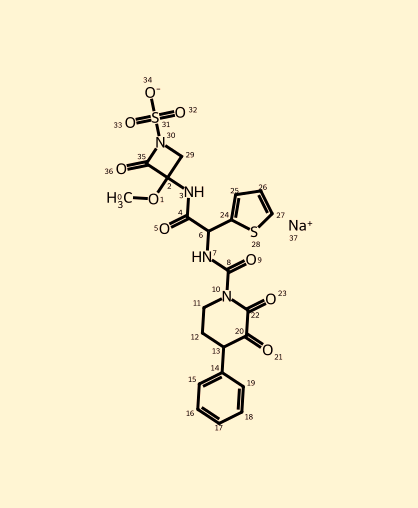 COC1(NC(=O)C(NC(=O)N2CCC(c3ccccc3)C(=O)C2=O)c2cccs2)CN(S(=O)(=O)[O-])C1=O.[Na+]